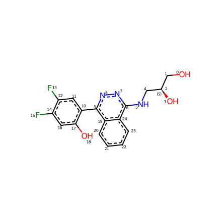 OC[C@@H](O)CNc1nnc(-c2cc(F)c(F)cc2O)c2ccccc12